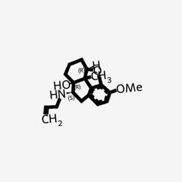 C=CCN[C@H]1Cc2ccc(OC)c3c2C2(C)[C@@H](CCC[C@]12O)O3